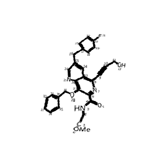 COCCNC(=O)c1nc(C#CCO)c2cc(Cc3ccc(F)cc3)cnc2c1OCc1ccccc1